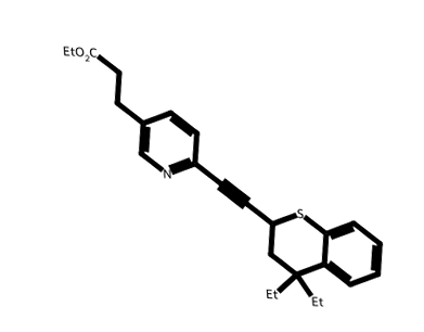 CCOC(=O)CCc1ccc(C#CC2CC(CC)(CC)c3ccccc3S2)nc1